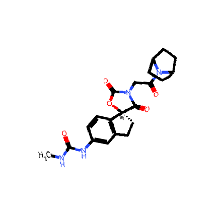 CNC(=O)Nc1ccc2c(c1)CC[C@@]21OC(=O)N(CC(=O)N2C3CCC2CC3)C1=O